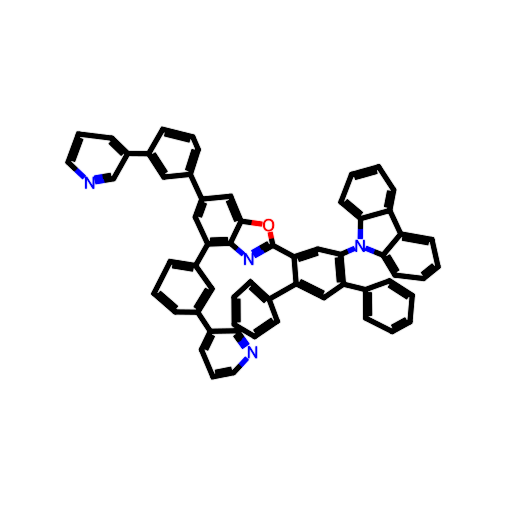 c1ccc(-c2cc(-c3ccccc3)c(-n3c4ccccc4c4ccccc43)cc2-c2nc3c(-c4cccc(-c5cccnc5)c4)cc(-c4cccc(-c5cccnc5)c4)cc3o2)cc1